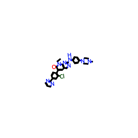 CCn1c(=O)c(-c2ccc(-c3ncccn3)cc2Cl)cc2cnc(Nc3ccc(N4CCN(C)CC4)cc3)nc21